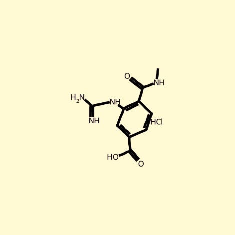 CNC(=O)c1ccc(C(=O)O)cc1NC(=N)N.Cl